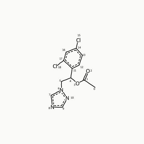 CC(=O)OC(Cn1cncn1)c1ccc(Cl)cc1Cl